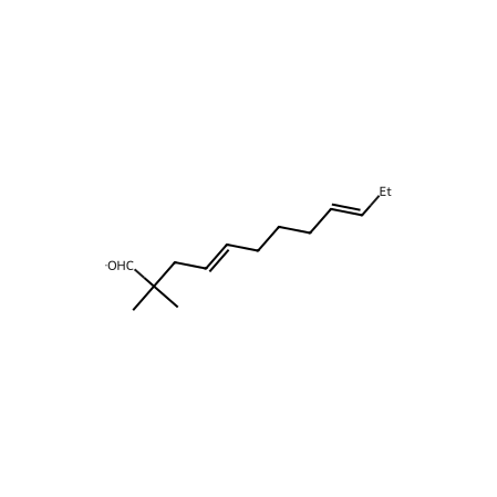 CCC=CCCCC=CCC(C)(C)[C]=O